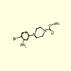 CC(C)(C)OC(=O)N1CCN(c2ccc(Br)c(N)c2)CC1